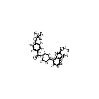 Cc1nc2c(C3CCN(C(=O)c4ccc(OC(F)(F)F)cc4)CC3)ccnc2[nH]1